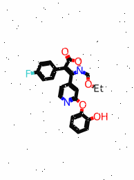 CCOCn1oc(=O)c(-c2ccc(F)cc2)c1-c1ccnc(Oc2ccccc2O)c1